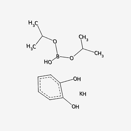 CC(C)OB(O)OC(C)C.Oc1ccccc1O.[KH]